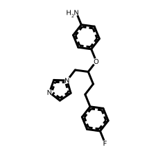 Nc1ccc(OC(CCc2ccc(F)cc2)Cn2ccnc2)cc1